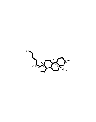 CC(C)CCC[C@@H](C)[C@H]1CCC2C3CC[C@@]4(N)C[C@@H](C)CC[C@]4(C)C3CC[C@@]21C